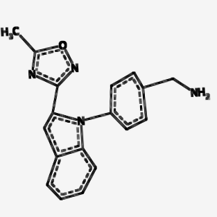 Cc1nc(-c2cc3ccccc3n2-c2ccc(CN)cc2)no1